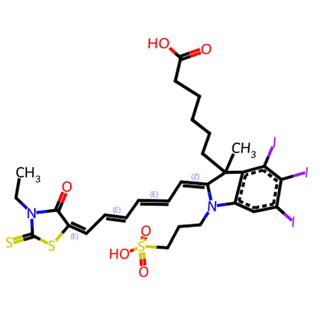 CCN1C(=O)\C(=C/C=C/C=C/C=C2\N(CCCS(=O)(=O)O)c3cc(I)c(I)c(I)c3C2(C)CCCCCC(=O)O)SC1=S